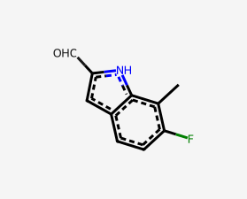 Cc1c(F)ccc2cc(C=O)[nH]c12